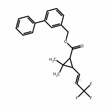 CC1(C)C(/C=C/C(F)(F)F)C1C(=O)OCc1cccc(-c2ccccc2)c1